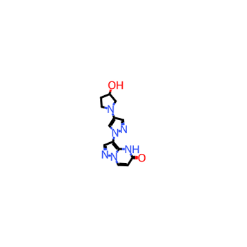 O=c1ccn2ncc(-n3cc(N4CCC(O)C4)cn3)c2[nH]1